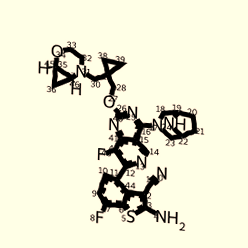 N#Cc1c(N)sc2c(F)ccc(-c3ncc4c(N5CC6CCC(C5)N6)nc(OCC5(CN6CCO[C@@H]7C[C@@H]76)CC5)nc4c3F)c12